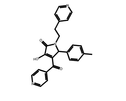 Cc1ccc(C2C(C(=O)c3ccncc3)=C(O)C(=O)N2CCc2ccncc2)cc1